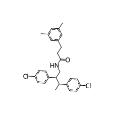 Cc1cc(C)cc(CCC(=O)NCC(c2ccc(Cl)cc2)C(C)c2ccc(Cl)cc2)c1